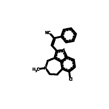 CN1CCc2c(Cl)ccc3sc(C=C(C#N)c4ccccc4)c(c23)C1